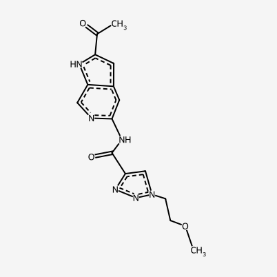 COCCn1cc(C(=O)Nc2cc3cc(C(C)=O)[nH]c3cn2)nn1